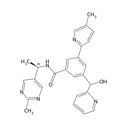 Cc1ccc(-c2cc(C(=O)N[C@H](C)c3cnc(C)nc3)cc(C(O)c3ccccn3)c2)nc1